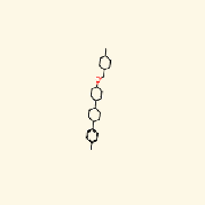 Cc1ccc(C2CCC(C3C=CC(OCC4CCC(C)CC4)CC3)CC2)cc1